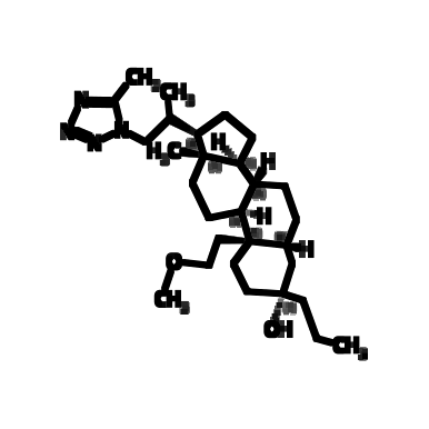 CCC[C@@]1(O)CC[C@@]2(CCOC)[C@H](CC[C@H]3[C@@H]4CC[C@H](C(C)Cn5nnnc5C)[C@@]4(C)CC[C@@H]32)C1